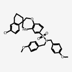 COc1ccc(CN(Cc2ccc(OC)cc2)S(=O)(=O)c2ccc3c(c2)NCC2(CCCc4cc(Cl)ccc42)CO3)cc1